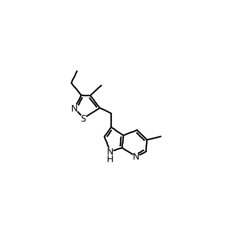 CCc1nsc(Cc2c[nH]c3ncc(C)cc23)c1C